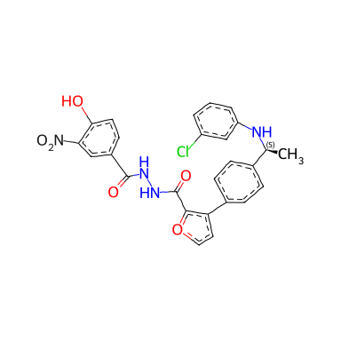 C[C@H](Nc1cccc(Cl)c1)c1ccc(-c2ccoc2C(=O)NNC(=O)c2ccc(O)c([N+](=O)[O-])c2)cc1